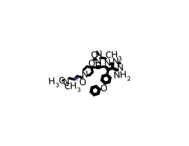 CC(c1ncon1)n1c(C#CC2(O)CCN(C(=O)/C=C/CN(C)C)CC2)c(-c2ccc(Oc3ccccc3)cc2)c2c(N)ncnc21